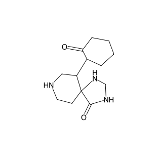 O=C1CCCCC1C1CNCCC12NCNC2=O